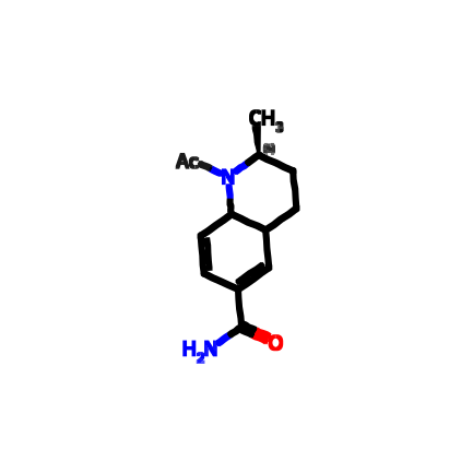 CC(=O)N1C2C=CC(C(N)=O)=CC2CC[C@@H]1C